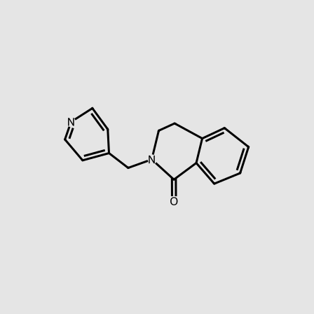 O=C1c2ccccc2CCN1Cc1ccncc1